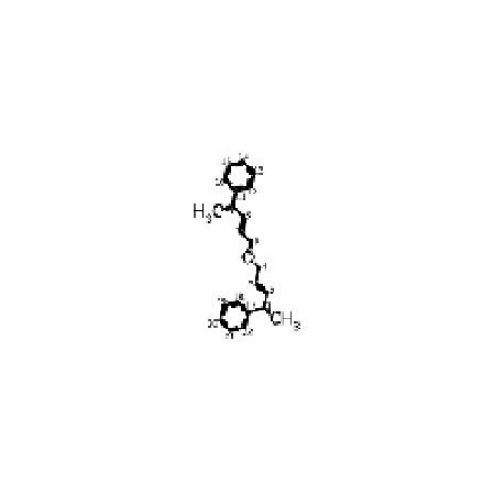 CC(C=CCOCC=CC(C)c1ccccc1)c1ccccc1